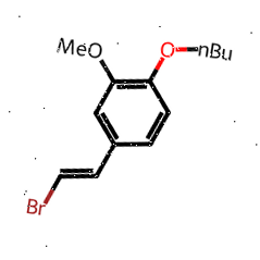 CCCCOc1ccc(C=CBr)cc1OC